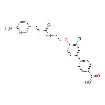 Nc1ccc(/C=C/C(=O)NCCOc2ccc(-c3ccc(C(=O)O)cc3)cc2Cl)cn1